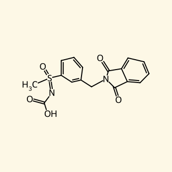 CS(=O)(=NC(=O)O)c1cccc(CN2C(=O)c3ccccc3C2=O)c1